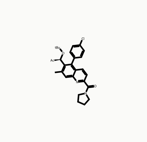 CC(=O)[C@@H](OC(C)(C)C)c1c(C)cc2nc(C(=O)N3CCCC3)ccc2c1-c1ccc(Cl)cc1